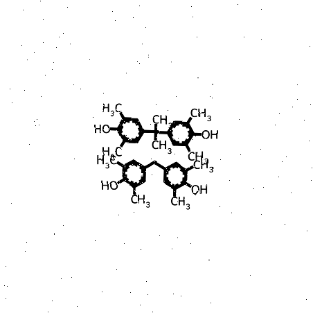 Cc1cc(C(C)(C)c2cc(C)c(O)c(C)c2)cc(C)c1O.Cc1cc(Cc2cc(C)c(O)c(C)c2)cc(C)c1O